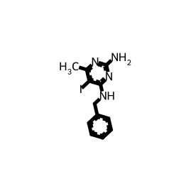 Cc1nc(N)nc(NCc2ccccc2)c1I